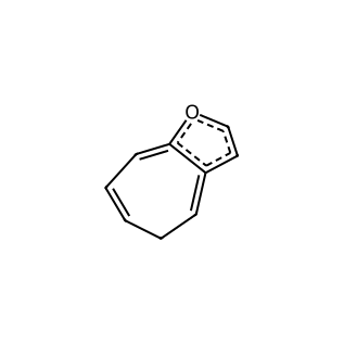 C1=CCC=c2ccoc2=C1